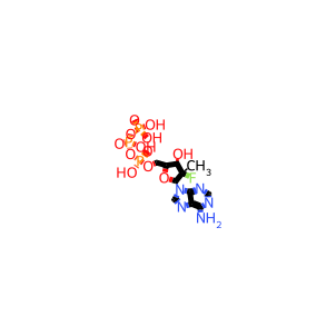 C[C@@]1(F)[C@H](O)C(COP(=O)(O)OP(=O)(O)OP(=O)(O)O)O[C@H]1n1cnc2c(N)ncnc21